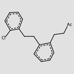 CC(=O)CCc1ccccc1CCc1ccccc1Cl